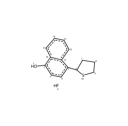 F.Oc1ccc(C2CCCS2)c2ccccc12